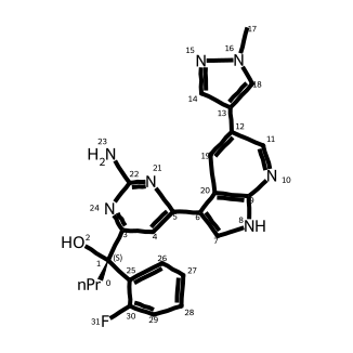 CCC[C@@](O)(c1cc(-c2c[nH]c3ncc(-c4cnn(C)c4)cc23)nc(N)n1)c1ccccc1F